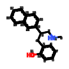 CNCC(Cc1ccccc1O)c1ccc2ccccc2c1